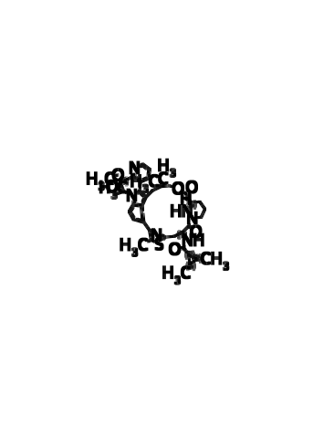 CO[C@@H](C)c1ncccc1-c1c2c3cc(ccc3n1C1COC1)C1N=C(C[C@H](NC(=O)[C@H]3[C@H](C)[C@@H]3C)C(=O)N3CCC[C@H](N3)C(=O)OCC(C)(C)C2)SC1C